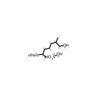 CCCCCC(C)CCCC(C)CO.O=S(=O)(O)O